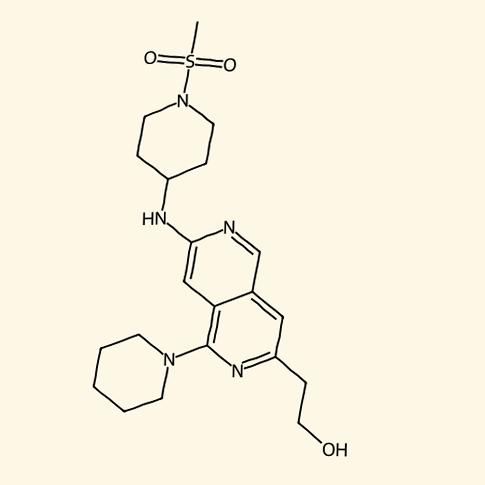 CS(=O)(=O)N1CCC(Nc2cc3c(N4CCCCC4)nc(CCO)cc3cn2)CC1